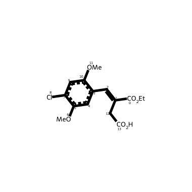 CCOC(=O)C(=Cc1cc(OC)c(Cl)cc1OC)CC(=O)O